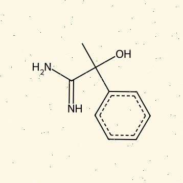 CC(O)(C(=N)N)c1ccccc1